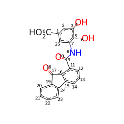 O=C(O)c1cc(O)c(O)c(NC(=O)c2cccc3c2C(=O)c2ccccc2-3)c1